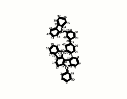 c1ccc(-n2c3ccccc3c3c2ccc2c4ccccc4n(-c4cccc(-c5cccc(-n6c7ccccc7c7ccccc76)c5)c4)c23)cc1